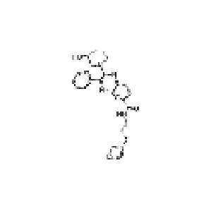 O=C(NCCCn1ccnc1)c1ccc2nc(N3CCCC(O)C3)c(-c3ccccc3)nc2c1